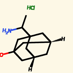 CC(N)C12C[C@@H]3C[C@@H](CC(O)(C3)C1)C2.Cl